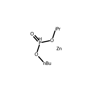 CCCCO[PH](=O)OC(C)C.[Zn]